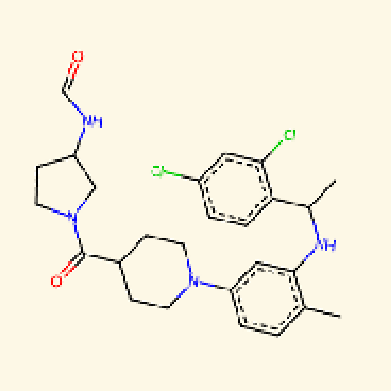 Cc1ccc(N2CCC(C(=O)N3CCC(NC=O)C3)CC2)cc1NC(C)c1ccc(Cl)cc1Cl